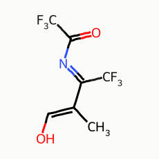 C/C(=C\O)C(=NC(=O)C(F)(F)F)C(F)(F)F